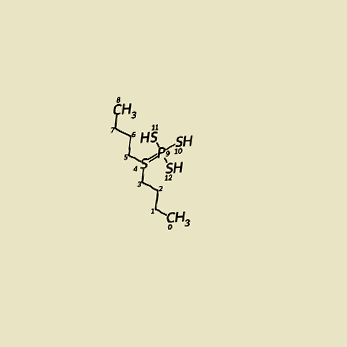 CCCCS(CCCC)=P(S)(S)S